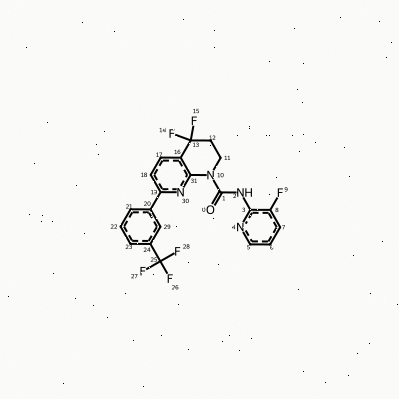 O=C(Nc1ncccc1F)N1CCC(F)(F)c2ccc(-c3cccc(C(F)(F)F)c3)nc21